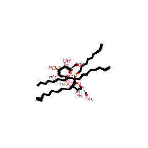 CCCCCCCCOC(CCCCCCCC)(CCCCCCCC)[C@@]1(O[C@H]2O[C@H](CO)[C@@H](O)[C@H](O)[C@H]2O)O[C@H](CO)[C@@H](O)[C@@]1(O)CCCCCCCC